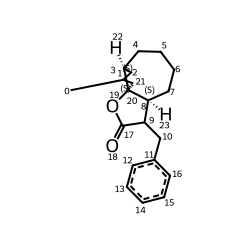 CC1C[C@@H]2CCCC[C@H]3C(Cc4ccccc4)C(=O)O[C@@]23C1